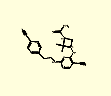 CC1(C)[C@@H](C(N)=O)C[C@H]1Nc1nc(NCCc2ccc(C#N)cc2)ncc1C#N